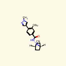 CC(C)COc1cc(C(=O)N[C@@H]2C[C@@H]3CC[C@H]2N3C#N)ccc1-c1cnn(C)c1